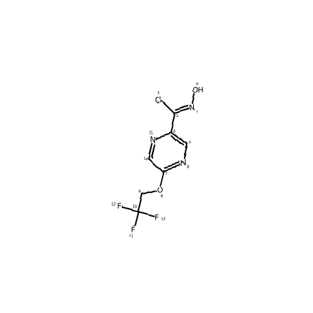 ON=C(Cl)c1cnc(OCC(F)(F)F)cn1